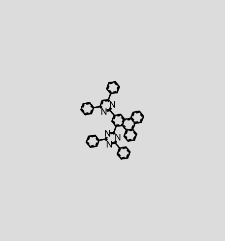 c1ccc(-c2cc(-c3ccccc3)nc(-c3cc(-c4nc(-c5ccccc5)nc(-c5ccccc5)n4)c4c5ccccc5c5ccccc5c4c3)n2)cc1